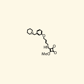 COc1c(NC/C=C/COc2cccc(CN3CCCCC3)c2)c(=O)c1=O